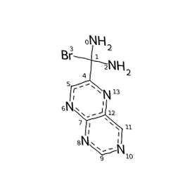 NC(N)(Br)c1cnc2ncncc2n1